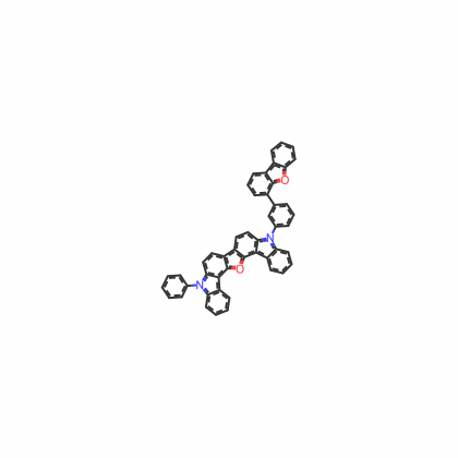 c1ccc(-n2c3ccccc3c3c4oc5c(ccc6c5c5ccccc5n6-c5cccc(-c6cccc7c6oc6ccccc67)c5)c4ccc32)cc1